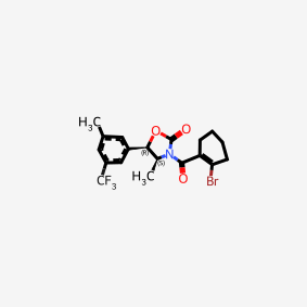 Cc1cc([C@H]2OC(=O)N(C(=O)C3=C(Br)CCCC3)[C@H]2C)cc(C(F)(F)F)c1